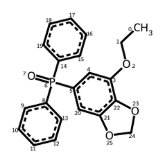 CCOc1cc(P(=O)(c2ccccc2)c2ccccc2)cc2c1OCO2